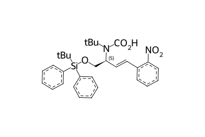 CC(C)(C)N(C(=O)O)[C@@H](C=Cc1ccccc1[N+](=O)[O-])CO[Si](c1ccccc1)(c1ccccc1)C(C)(C)C